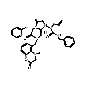 C=CCN(C(=O)NCc1ccccc1)N1CC(=O)N2[C@@H](Cc3ccccc3)C(=O)N(Cc3cccc4c3N(C)CC(=O)O4)C[C@@H]21